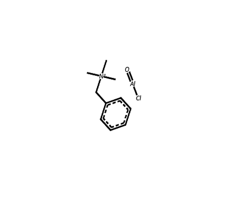 C[N+](C)(C)Cc1ccccc1.[O]=[Al][Cl]